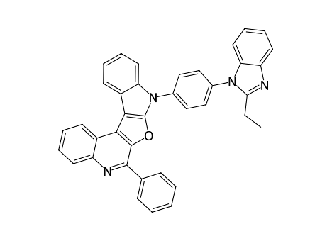 CCc1nc2ccccc2n1-c1ccc(-n2c3ccccc3c3c4c(oc32)c(-c2ccccc2)nc2ccccc24)cc1